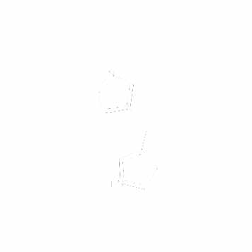 c1cc(Sc2cc[nH]c2)c[nH]1